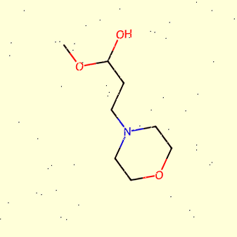 COC(O)CCN1CCOCC1